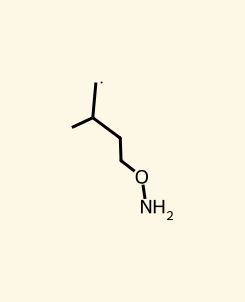 [CH2]C(C)CCON